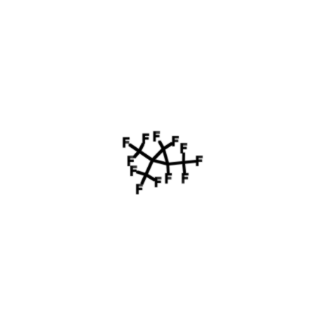 FC(F)(F)C1(F)C(F)(F)C1(C(F)(F)F)C(F)(F)F